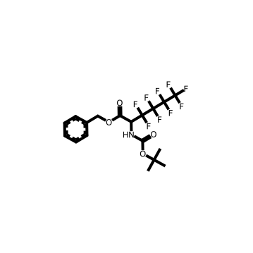 CC(C)(C)OC(=O)NC(C(=O)OCc1ccccc1)C(F)(F)C(F)(F)C(F)(F)C(F)(F)F